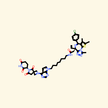 C=C[C@]1(CC(=O)NCCCCCCCCn2ccc3c(N4CC5(CC(=O)N(C6CCC(=O)NC6=O)C5=O)C4)ncnc32)N=C(c2ccc(Cl)cc2)c2c(sc(C)c2C)-n2c(C)nnc21